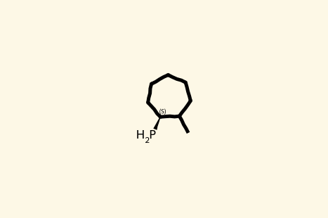 CC1CCCCC[C@@H]1P